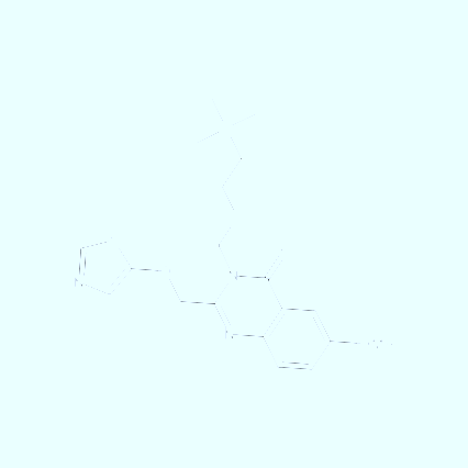 COc1ccc2nc(COc3cncs3)n(COCC[Si](C)(C)C)c(=O)c2c1